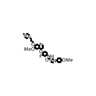 COc1ccc(N2C=CN(C(=O)Nc3ccc(Oc4ccnc5cc(OCCCN6CCN(C)CC6)c(OC)cc45)c(F)c3)C2)cc1